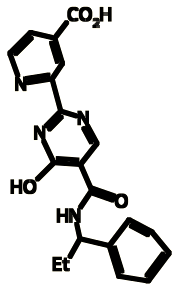 CCC(NC(=O)c1cnc(-c2cc(C(=O)O)ccn2)nc1O)c1ccccc1